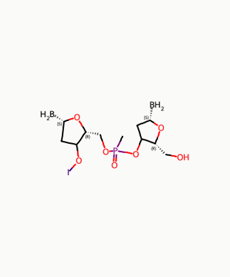 B[C@H]1CC(OI)[C@@H](COP(C)(=O)OC2C[C@H](B)O[C@@H]2CO)O1